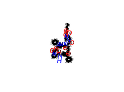 CCCCOC(=O)ON1CCN(C(=O)[C@H](CCCCOCc2ccccc2)NC(=O)c2cc(OCC(=O)N3CCC[C@H]3C(=O)NC3CCC3)n(-c3ccccc3)n2)CC1